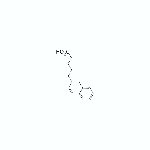 O=C(O)CCCCc1ccc2ccccc2c1